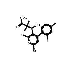 COC(=O)C(C)(C)C(O)c1c(-c2ccc(C)cc2F)cc(Cl)nc1Cl